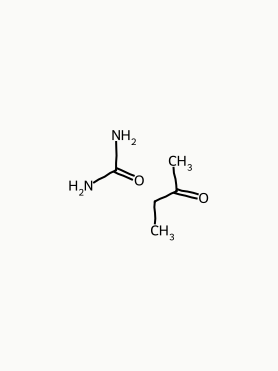 CCC(C)=O.NC(N)=O